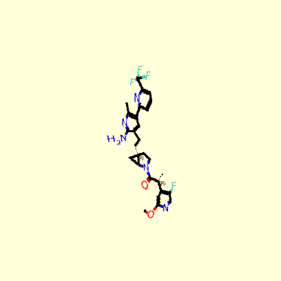 COc1cc([C@@H](C)C(=O)N2CC[C@]3(CCc4cc(-c5cccc(C(F)(F)F)n5)c(C)nc4N)CC23)c(F)cn1